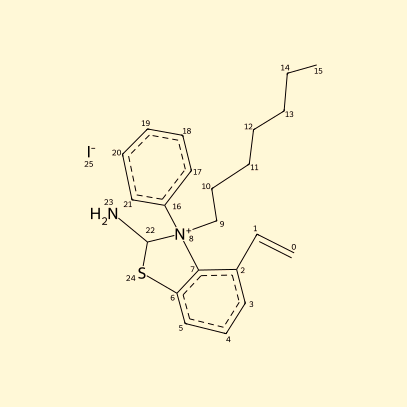 C=Cc1cccc2c1[N+](CCCCCCC)(c1ccccc1)C(N)S2.[I-]